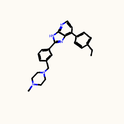 CCc1ccc(-c2ccnc3[nH]c(-c4cccc(CN5CCN(C)CC5)c4)nc23)cc1